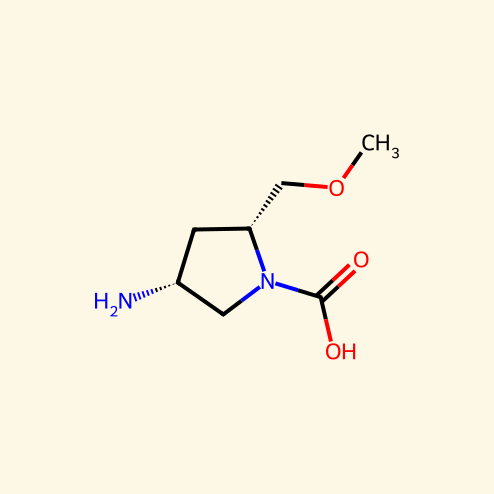 COC[C@H]1C[C@@H](N)CN1C(=O)O